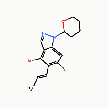 CC=Cc1c(Cl)cc2c(cnn2C2CCCCO2)c1Br